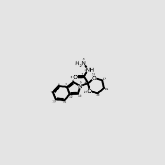 NNC(=O)C1(n2cc3ccccc3c2)OCCCO1